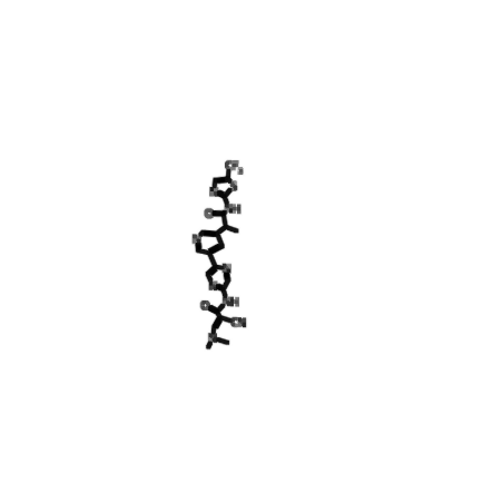 CC(C(=O)Nc1ncc(C(F)(F)F)s1)c1cncc(-c2cnc(NC(=O)/C(C#N)=C/N(C)C)cn2)c1